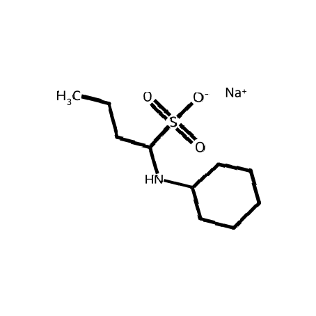 CCCC(NC1CCCCC1)S(=O)(=O)[O-].[Na+]